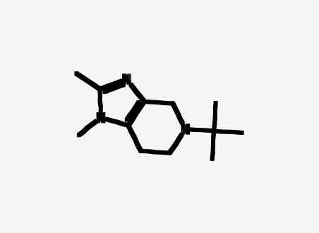 Cc1nc2c(n1C)CCN(C(C)(C)C)C2